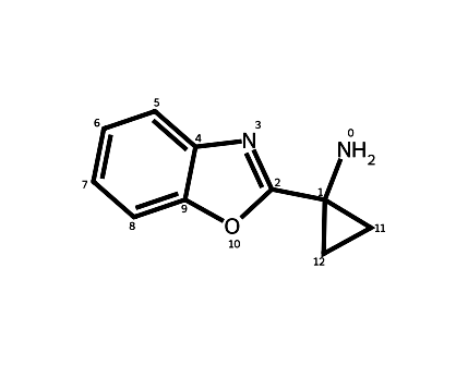 NC1(c2nc3ccccc3o2)CC1